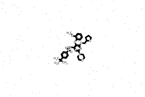 COc1ccccc1Oc1c(NS(=O)(=O)c2ccc(C(C)(C)C)cc2)nc(N2CCOCC2)nc1OCC1CCCO1